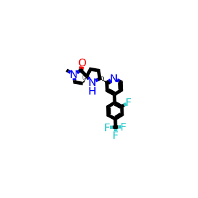 CN1CC[C@@]2(CC[C@H](c3cc(-c4ccc(C(F)(F)F)cc4F)ccn3)N2)C1=O